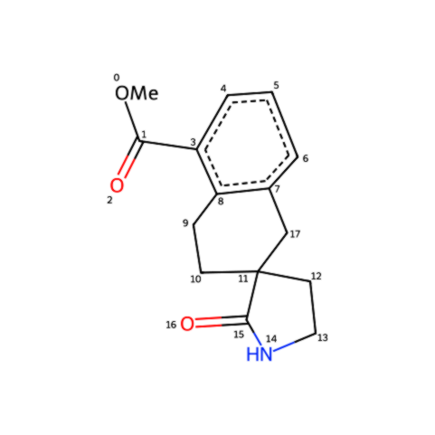 COC(=O)c1cccc2c1CCC1(CCNC1=O)C2